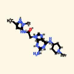 CCn1nc(C)cc1NC(=O)Cn1cnc2c(NC3CCN(C(C)C)CC3)nc(N)nc21